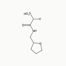 O=C(NCC1CCCO1)C(F)S(=O)(=O)O